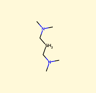 CN(C)C[SiH2]CN(C)C